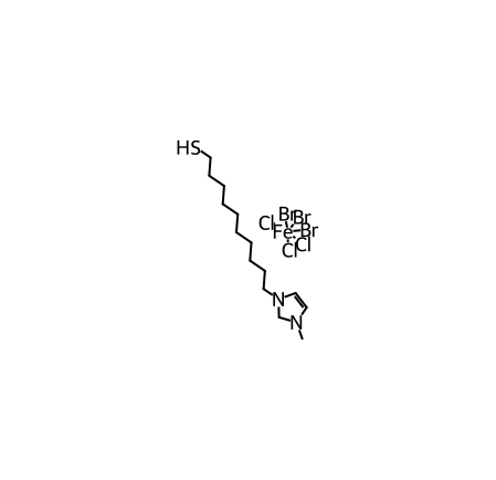 CN1C=CN(CCCCCCCCCCS)C1.[Cl][Fe]([Cl])([Cl])([Br])([Br])[Br]